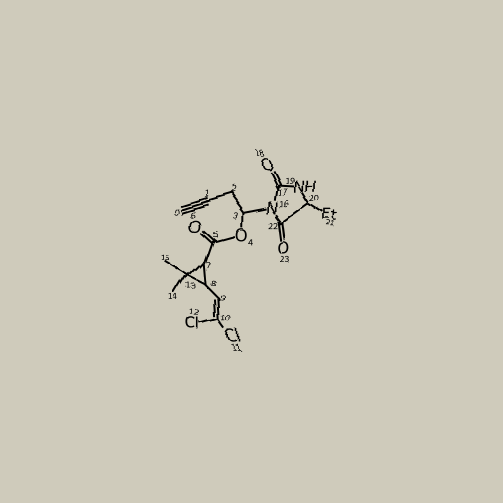 C#CCC(OC(=O)C1C(C=C(Cl)Cl)C1(C)C)N1C(=O)NC(CC)C1=O